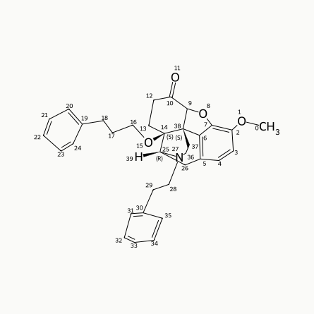 COc1ccc2c3c1OC1C(=O)CC[C@@]4(OCCCc5ccccc5)[C@@H](C2)N(CCc2ccccc2)CC[C@]314